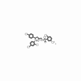 O=S(=O)(NCC1=NN(c2ccc(Cl)cc2Cl)C(c2ccc(Cl)cc2)C1)c1cc(C(F)(F)F)ccc1Cl